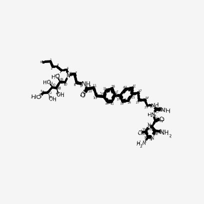 CCCCCCN(CCNC(=O)CCc1ccc(-c2ccc(CCCCNC(=N)NC(=O)c3nc(Cl)c(N)nc3N)cc2)cc1)C[C@H](O)[C@@H](O)[C@H](O)[C@H](O)CO